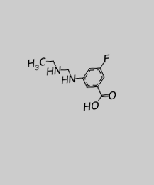 CCNCNc1cc(F)cc(C(=O)O)c1